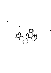 Cc1nc(C[C@H]2CCCCN2C(=O)c2cccnc2-n2cccn2)oc1C